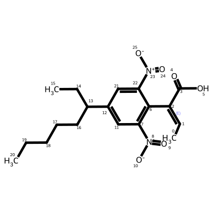 C/C=C(/C(=O)O)c1c([N+](=O)[O-])cc(C(CC)CCCCC)cc1[N+](=O)[O-]